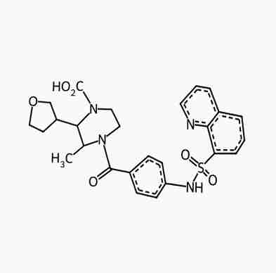 CC1C(C2CCOC2)N(C(=O)O)CCN1C(=O)c1ccc(NS(=O)(=O)c2cccc3cccnc23)cc1